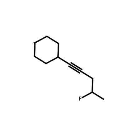 CC(F)CC#CC1CC[CH]CC1